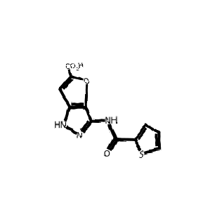 O=C(O)c1cc2[nH]nc(NC(=O)c3cccs3)c2o1